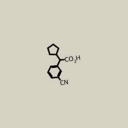 N#Cc1cccc(C(C(=O)O)C2CCCC2)c1